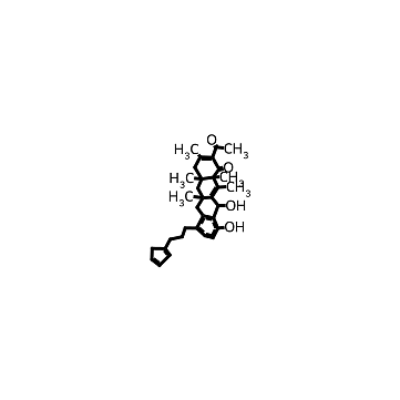 CC(=O)C1=C(C)CC2(C)CC3(C)Cc4c(CCCC5=CC=CC5)ccc(O)c4C(O)C3=C(C)C2(C)C1=O